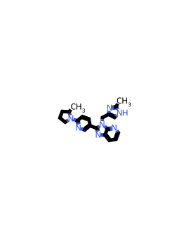 Cc1nc(Cn2c(-c3ccc(N4CCCC4C)nc3)nc3cccnc32)c[nH]1